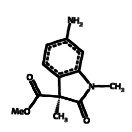 COC(=O)[C@]1(C)C(=O)N(C)c2cc(N)ccc21